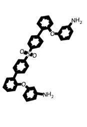 Nc1cccc(Oc2ccccc2-c2ccc(S(=O)(=O)c3ccc(-c4ccccc4Oc4cccc(N)c4)cc3)cc2)c1